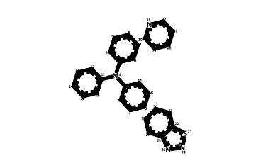 c1ccc(N(c2ccccc2)c2ccccc2)cc1.c1ccc2snnc2c1.c1ccncc1